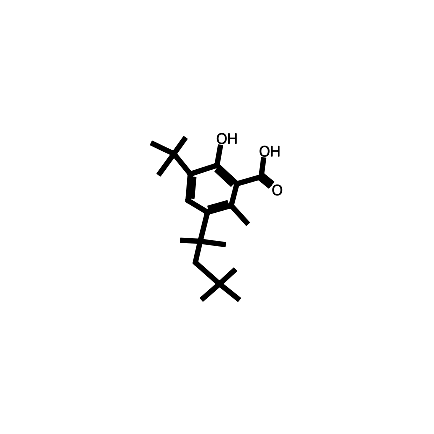 Cc1c(C(C)(C)CC(C)(C)C)cc(C(C)(C)C)c(O)c1C(=O)O